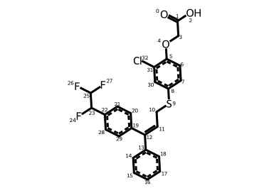 O=C(O)COc1ccc(SCC=C(c2ccccc2)c2ccc(C(F)C(F)F)cc2)cc1Cl